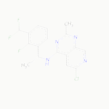 Cc1nc(N[C@H](C)c2cccc(C(F)F)c2F)c2cc(Cl)ncc2n1